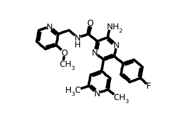 COc1cccnc1CNC(=O)c1nc(-c2cc(C)nc(C)c2)c(-c2ccc(F)cc2)nc1N